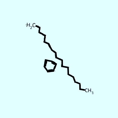 [CH2]CCCCCCCCCCCCCCCCC.[c]1ccccc1